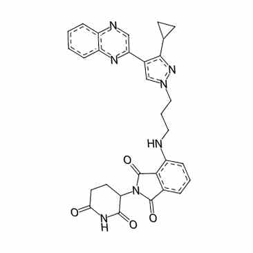 O=C1CCC(N2C(=O)c3cccc(NCCCn4cc(-c5cnc6ccccc6n5)c(C5CC5)n4)c3C2=O)C(=O)N1